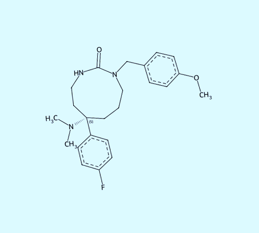 COc1ccc(CN2CCC[C@](c3ccc(F)cc3)(N(C)C)CCNC2=O)cc1